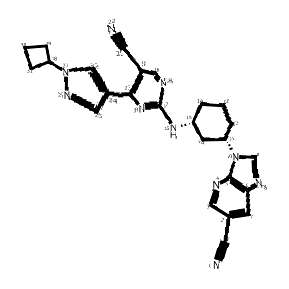 N#Cc1cnc2c(c1)ncn2[C@H]1CCC[C@@H](Nc2ncc(C#N)c(-c3cnn(C4CCC4)c3)n2)C1